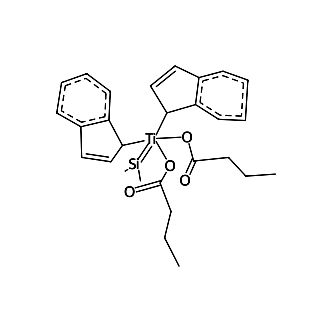 CCCC(=O)[O][Ti]([O]C(=O)CCC)([CH]1C=Cc2ccccc21)([CH]1C=Cc2ccccc21)=[Si](C)C